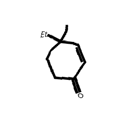 CCC1(C)C=CC(=O)CC1